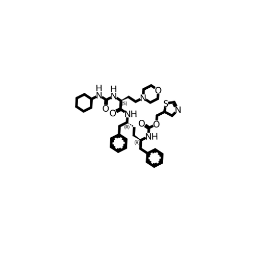 O=C(NC1CCCCC1)N[C@@H](CCN1CCOCC1)C(=O)N[C@H](CC[C@H](Cc1ccccc1)NC(=O)OCC1CN=CS1)Cc1ccccc1